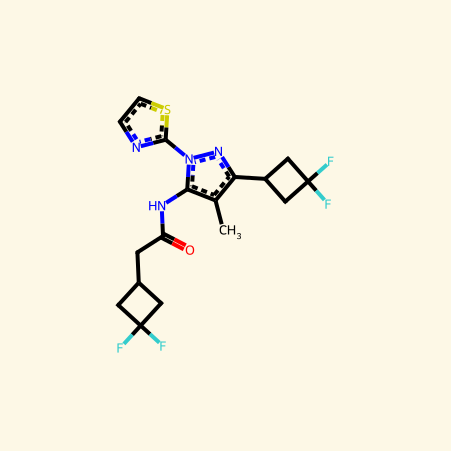 Cc1c(C2CC(F)(F)C2)nn(-c2nccs2)c1NC(=O)CC1CC(F)(F)C1